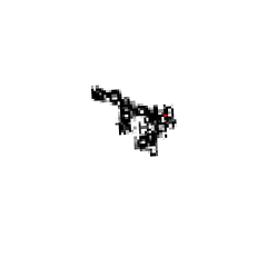 COc1cc(NC(=O)c2cc(=O)c3ccccc3o2)c(C(=O)Nc2ccc(CCN(Cc3ccc(-c4ccncc4)cc3)Cc3ccc4c(cnn4C)c3)cc2)cc1OC